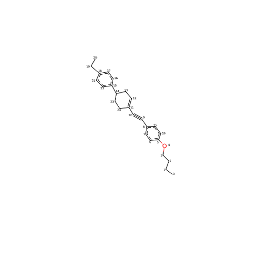 CCCCOc1ccc(C#CC2=CCC(c3ccc(CC)cc3)CC2)cc1